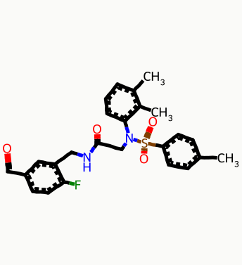 Cc1ccc(S(=O)(=O)N(CC(=O)NCc2cc(C=O)ccc2F)c2cccc(C)c2C)cc1